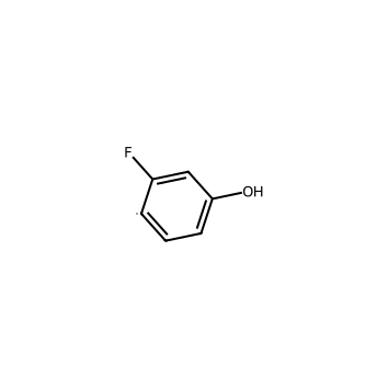 Oc1cc[c]c(F)c1